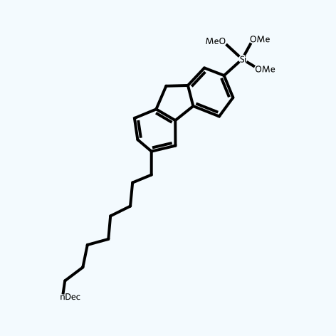 CCCCCCCCCCCCCCCCCCc1ccc2c(c1)-c1ccc([Si](OC)(OC)OC)cc1C2